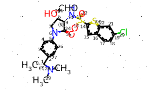 C[C@H](c1ccc(N2CC[C@H](NS(=O)(=O)c3cc4ccc(Cl)cc4s3)C2=O)cc1)N(C)C.O=CO